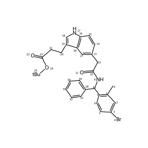 Cc1cc(Br)ccc1C(NC(=O)Cc1ccc2[nH]cc(CCC(=O)OC(C)(C)C)c2c1)c1ccccc1